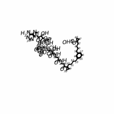 CC(C)(COP(=O)(O)OP(=O)(O)OCC1OC(n2cnc3c(N)ncnc32)C(O)C1OP(=O)(O)O)C(O)C(=O)NCCC(=O)NCCC(=O)C1(CCCCc2cccc(CCCCC3(OC=O)CC3)c2)CC1